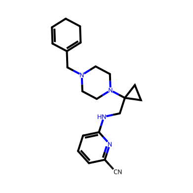 N#Cc1cccc(NCC2(N3CCN(CC4=CCCC=C4)CC3)CC2)n1